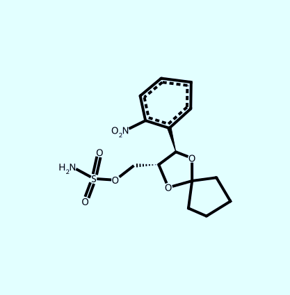 NS(=O)(=O)OC[C@H]1OC2(CCCC2)O[C@@H]1c1ccccc1[N+](=O)[O-]